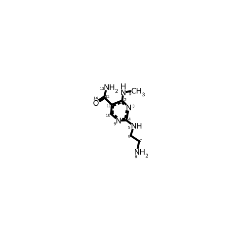 CNc1nc(NCCN)ncc1C(N)=O